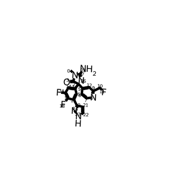 CN1C(=O)C(c2ccnc(CF)c2)(c2cc(F)c(F)c(-c3cc[nH]n3)c2)N=C1N